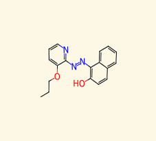 CCCOc1cccnc1N=Nc1c(O)ccc2ccccc12